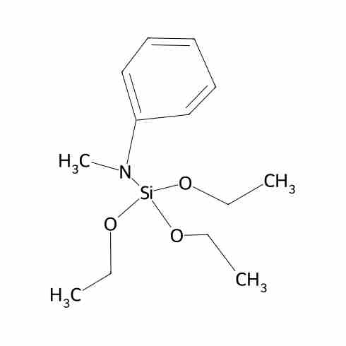 CCO[Si](OCC)(OCC)N(C)c1ccccc1